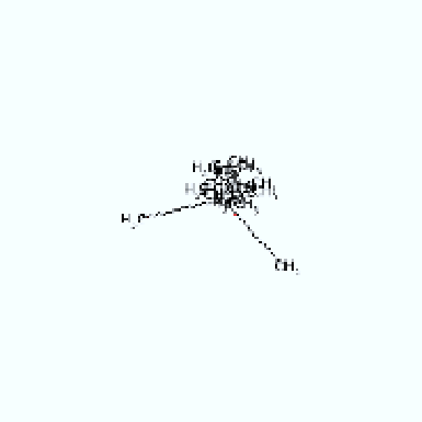 CCCCC1=C(c2cc(C[Si](C)(C)C)cc(C[Si](C)(C)C)c2)[N+](=[N-])C(c2cc(C[Si](C)(C)C)cc(C[Si](C)(C)C)c2)=C1CCCC.CCCCCCCCCCCCCCCCCCCCC[CH2][Pd][CH2]CCCCCCCCCCCCCCCCCCCCC